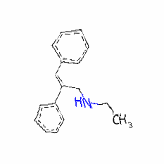 CCNC/C(=C\c1ccccc1)c1ccccc1